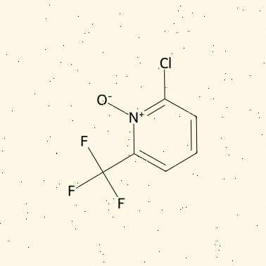 [O-][n+]1c(Cl)cccc1C(F)(F)F